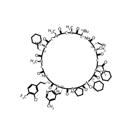 CC[C@H](C)[C@@H]1NC(=O)[C@H](CC(C)C)N(C)C(=O)C[C@@H](C(=O)N2CCCCC2)N(C)C(=O)[C@H](C2CCCCC2)N(C)C(=O)C2(CCCC2)NC(=O)[C@H](Cc2cncc(C)c2)N(C)C(=O)[C@H](CCc2ccc(C(F)(F)F)c(Cl)c2)NC(=O)CN(C)C(=O)[C@H](CC2CCCCC2)N(C)C(=O)CN(C)C(=O)CN(C)C1=O